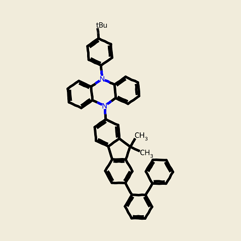 CC(C)(C)c1ccc(N2c3ccccc3N(c3ccc4c(c3)C(C)(C)c3cc(-c5ccccc5-c5ccccc5)ccc3-4)c3ccccc32)cc1